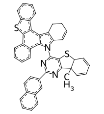 CC12C=CC=CC1Sc1c(-n3c4c(c5c6c7ccccc7sc6c6ccccc6c53)CCC=C4)nc(-c3ccc4ccccc4c3)nc12